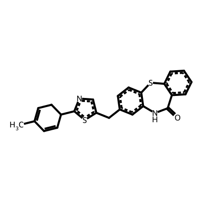 CC1=CCC(c2ncc(Cc3ccc4c(c3)NC(=O)c3ccccc3S4)s2)C=C1